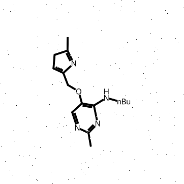 CCCCNc1nc(C)ncc1OCC1=CCC(C)=N1